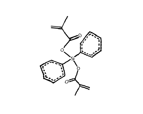 C=C(C)C(=O)O[Si](OC(=O)C(=C)C)(c1ccccc1)c1ccccc1